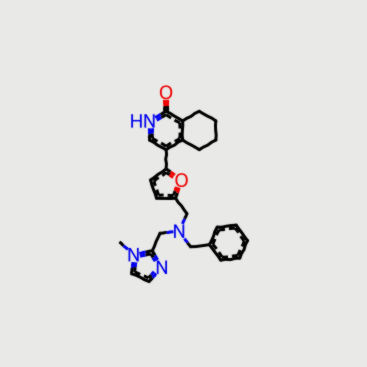 Cn1ccnc1CN(Cc1ccccc1)Cc1ccc(-c2c[nH]c(=O)c3c2CCCC3)o1